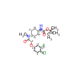 CN(C(=O)COc1ccc(Cl)c(F)c1)[C@H]1CC[C@H](NC(=O)OC(C)(C)C)CC1